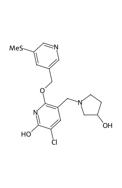 CSc1cncc(COc2nc(O)c(Cl)cc2CN2CCC(O)C2)c1